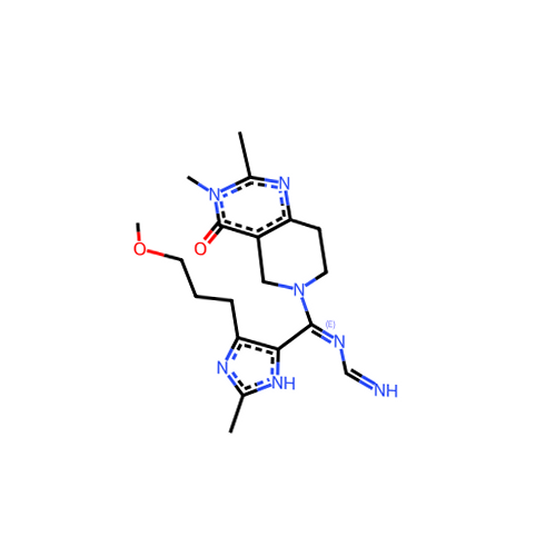 COCCCc1nc(C)[nH]c1/C(=N\C=N)N1CCc2nc(C)n(C)c(=O)c2C1